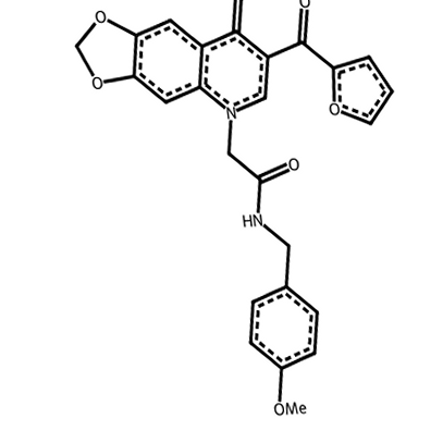 COc1ccc(CNC(=O)Cn2cc(C(=O)c3ccco3)c(=O)c3cc4c(cc32)OCO4)cc1